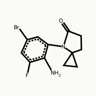 Nc1c(F)cc(Br)cc1N1C(=O)CCC12CC2